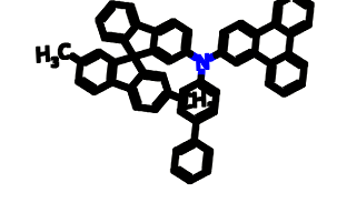 Cc1ccc2c(c1)C1(c3ccccc3-c3ccc(N(c4ccc(-c5ccccc5)cc4)c4ccc5c6ccccc6c6ccccc6c5c4)cc31)c1cc(C)ccc1-2